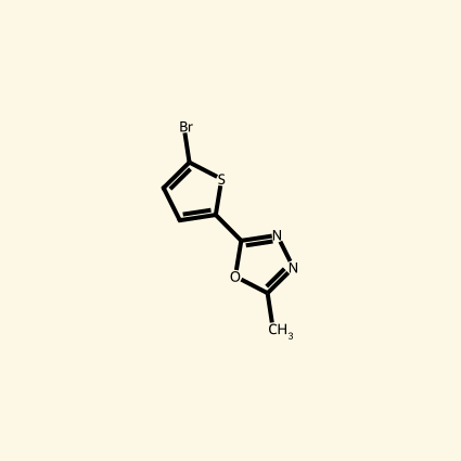 Cc1nnc(-c2ccc(Br)s2)o1